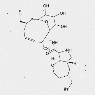 CC(C)C[C@@H]1CCO[C@H]2C(C(=O)N[C@H]3C4OC(S[C@H](CF)C/C=C\[C@H]3C)C(O)C(O)C4O)NC[C@@H]2C1